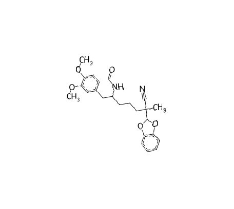 COc1ccc(CC(CCCC(C)(C#N)C2Oc3ccccc3O2)NC=O)cc1OC